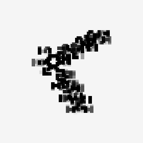 O=P(O)(O)O.O=P(O)(O)O.O=P(O)(O)O.O=P(O)(O)O.O=P(O)(O)O.O=P(O)(O)O.Oc1c(O)c(O)c(O)c(O)c1O